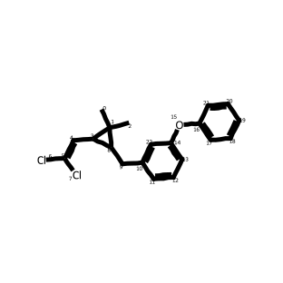 CC1(C)C(C=C(Cl)Cl)C1Cc1cccc(Oc2ccccc2)c1